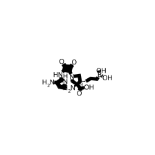 Nc1cc[nH]c1Nc1c(N2C[C@H](CCCB(O)O)[C@](N)(C(=O)O)C2)c(=O)c1=O